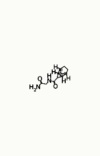 NC(=O)CNC(=O)C1[C@@H]2[C@@H]3CC[C@@H](C3)[C@H]12